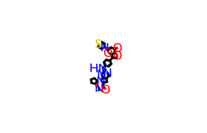 CN(C)C(=O)c1cc2cnc(Nc3ccc(-c4coc5c(=O)cc(N6CCSCC6)oc45)cc3)nc2n1C1CCCC1